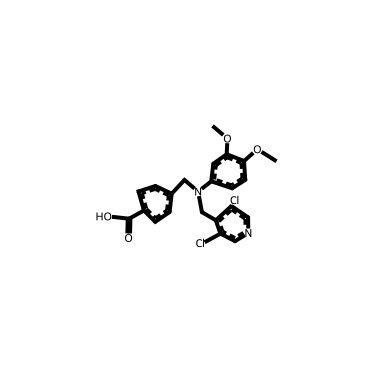 COc1ccc(N(Cc2ccc(C(=O)O)cc2)Cc2c(Cl)cncc2Cl)cc1OC